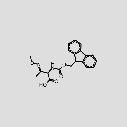 CON=C(C)C(NC(=O)OCC1c2ccccc2-c2ccccc21)C(=O)O